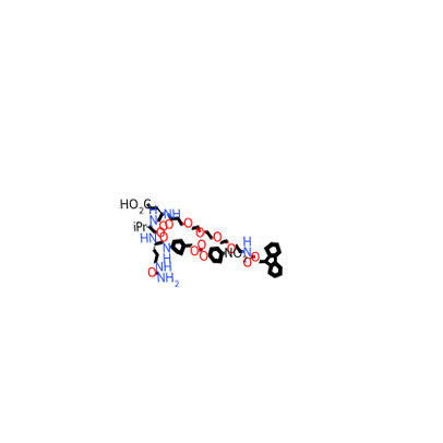 CC(C)[C@H](NC(=O)[C@@H](CCC(=O)O)NC(=O)CCOCCOCCOCCOCCNC(=O)OCC1c2ccccc2-c2ccccc21)C(=O)N[C@@H](CCCNC(N)=O)C(=O)Nc1ccc(COC(=O)Oc2ccc([N+](=O)[O-])cc2)cc1